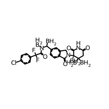 BC(c1ccc2c(c1)CN([C@]1(B)C(=O)NC(=O)CC1(B)B)C2=O)N(B)C(=O)C(F)(F)c1ccc(Cl)cc1